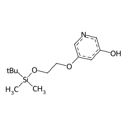 CC(C)(C)[Si](C)(C)OCCOc1cncc(O)c1